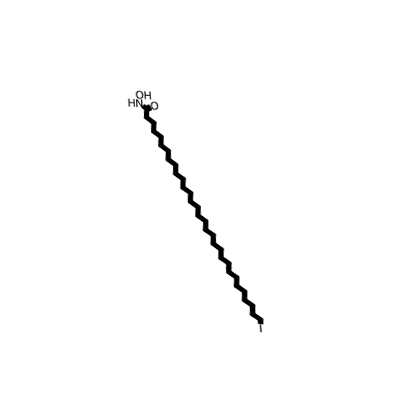 O=C(CCCCCCCCCCCCCCCCCCCCCCCCCCCCCCI)NO